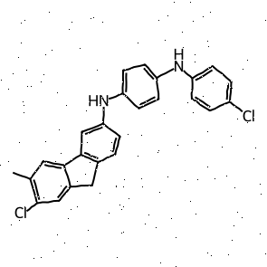 Cc1cc2c(cc1Cl)Cc1ccc(Nc3ccc(Nc4ccc(Cl)cc4)cc3)cc1-2